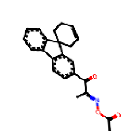 CC(=O)O/N=C(\C)C(=O)c1ccc2c(c1)C1(CC=CCC1)c1ccccc1-2